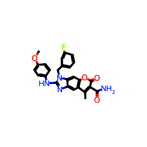 COc1ccc(Nc2nc3cc4c(C)c(C(N)=O)c(=O)oc4cc3n2Cc2cccc(F)c2)cc1